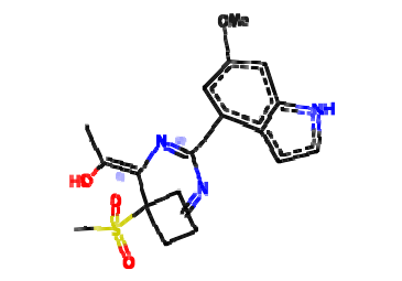 C=N/C(=N\C(=C(/C)O)C1(S(C)(=O)=O)CCC1)c1cc(OC)cc2[nH]ccc12